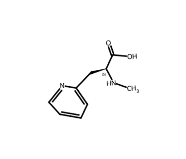 CN[C@@H](Cc1ccccn1)C(=O)O